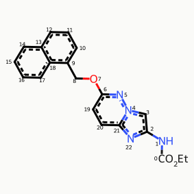 CCOC(=O)Nc1cn2nc(OCc3cccc4ccccc34)ccc2n1